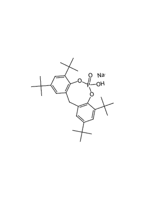 CC(C)(C)c1cc2c(c(C(C)(C)C)c1)OP(=O)(O)Oc1c(cc(C(C)(C)C)cc1C(C)(C)C)C2.[Na]